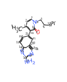 Cc1ccn(CCC(C)C)c(=O)c1-c1ccc2nc(N)ncc2c1